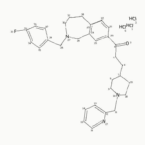 Cl.Cl.Cl.O=C(CCC1CCN(Cc2ccccn2)CC1)c1ccc2c(c1)CN(Cc1ccc(F)cc1)CCC2